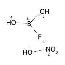 O=[N+]([O-])O.OB(O)F